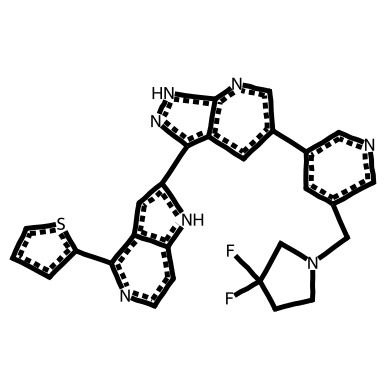 FC1(F)CCN(Cc2cncc(-c3cnc4[nH]nc(-c5cc6c(-c7cccs7)nccc6[nH]5)c4c3)c2)C1